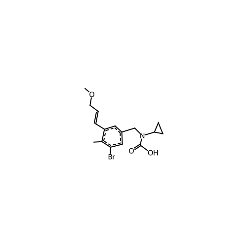 COCC=Cc1cc(CN(C(=O)O)C2CC2)cc(Br)c1C